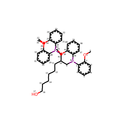 COc1ccccc1P(CC(CCCCCCO)CP(c1ccccc1OC)c1ccccc1OC)c1ccccc1OC